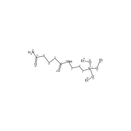 CCO[Si](CCCNC(=O)CCCC(N)=O)(OCC)OCC